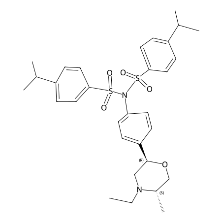 CCN1C[C@@H](c2ccc(N(S(=O)(=O)c3ccc(C(C)C)cc3)S(=O)(=O)c3ccc(C(C)C)cc3)cc2)OC[C@@H]1C